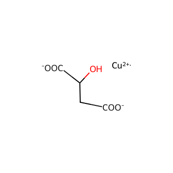 O=C([O-])CC(O)C(=O)[O-].[Cu+2]